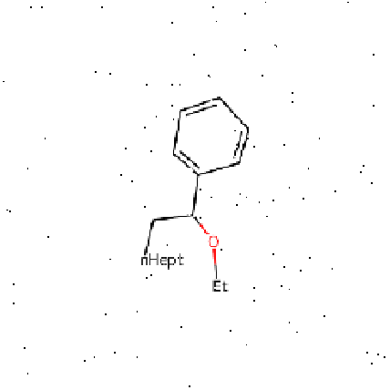 CCCCCCCCC(OCC)c1ccccc1